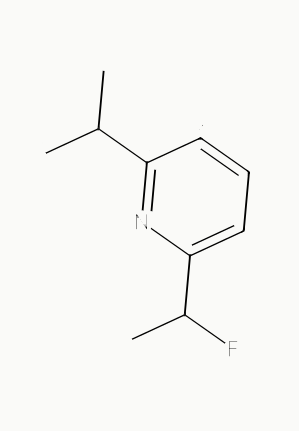 CC(C)c1cccc(C(C)F)n1